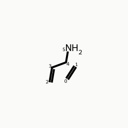 C=C.C=CCN